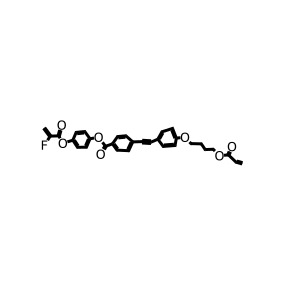 C=CC(=O)OCCCCOc1ccc(C#Cc2ccc(C(=O)Oc3ccc(OC(=O)C(=C)F)cc3)cc2)cc1